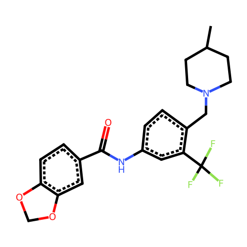 CC1CCN(Cc2ccc(NC(=O)c3ccc4c(c3)OCO4)cc2C(F)(F)F)CC1